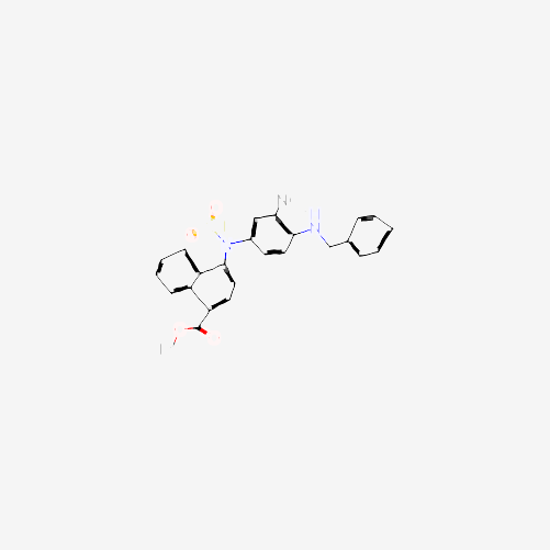 CC(C)OC(=O)c1ccc(N(c2ccc(NCc3ccccc3)c([N+](=O)[O-])c2)[SH](=O)=O)c2ccccc12